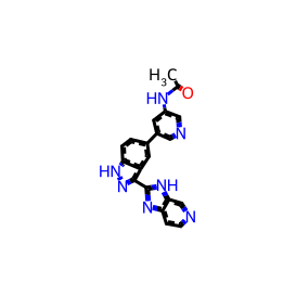 CC(=O)Nc1cncc(-c2ccc3[nH]nc(-c4nc5ccncc5[nH]4)c3c2)c1